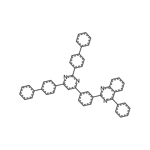 c1ccc(-c2ccc(-c3cc(-c4cccc(-c5nc(-c6ccccc6)c6ccccc6n5)c4)nc(-c4ccc(-c5ccccc5)cc4)n3)cc2)cc1